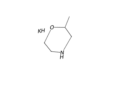 CC1CNCCO1.[KH]